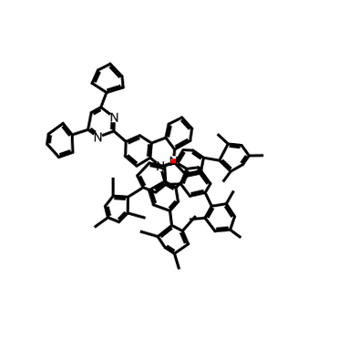 Cc1cc(C)c(-c2ccc3c(c2)c2cc(-c4c(C)cc(C)cc4C)ccc2n3-c2ccccc2-c2cc(-c3nc(-c4ccccc4)cc(-c4ccccc4)n3)ccc2-n2c3ccc(-c4c(C)cc(C)cc4C)cc3c3cc(-c4c(C)cc(C)cc4C)ccc32)c(C)c1